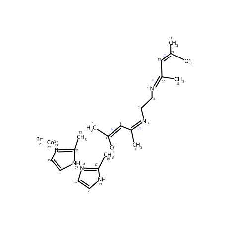 C/C([O-])=C/C(C)=N\CC/N=C(C)/C=C(/C)[O-].Cc1ncc[nH]1.Cc1ncc[nH]1.[Br-].[Co+3]